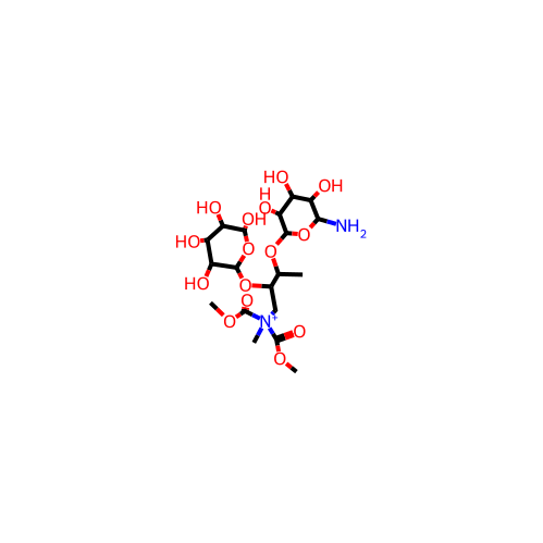 COC(=O)[N+](C)(CC(OC1OC(O)C(O)C(O)C1O)C(C)OC1OC(N)C(O)C(O)C1O)C(=O)OC